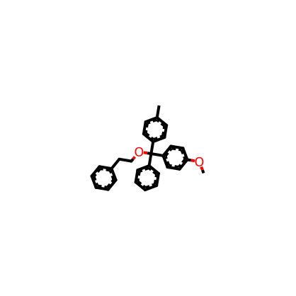 COc1ccc(C(OCCc2ccccc2)(c2ccccc2)c2ccc(C)cc2)cc1